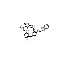 OC[C@H]1O[C@@H](c2ccc(Cl)c(Cc3ccc(OCC4Cc5ccccc5O4)c(F)c3)c2)C[C@@H](O)[C@@H]1O